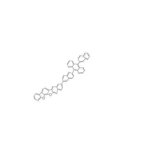 c1ccc2cc(-c3c4ccccc4c(-c4ccc5cc(-c6ccc7cc8oc9c(ccc%10c%11ccccc%11oc%109)c8cc7c6)ccc5c4)c4ccccc34)ccc2c1